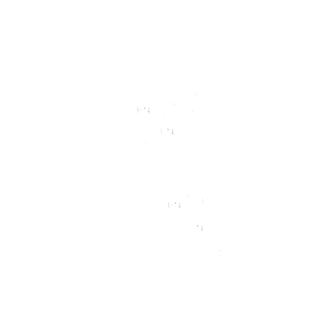 COc1cccc(NC(=O)c2cc(Cl)c([C@]3(C)CS(=O)(=O)C4(CCCCC4)C(=N)N3)s2)n1